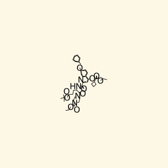 CCOC(=O)N1CCN(C(=O)C(CCC(=O)OC(C)(C)C)NC(=O)c2cc(OC3(C(=O)OCC)CCC3)c3ccc(OCc4ccccc4)cc3n2)CC1